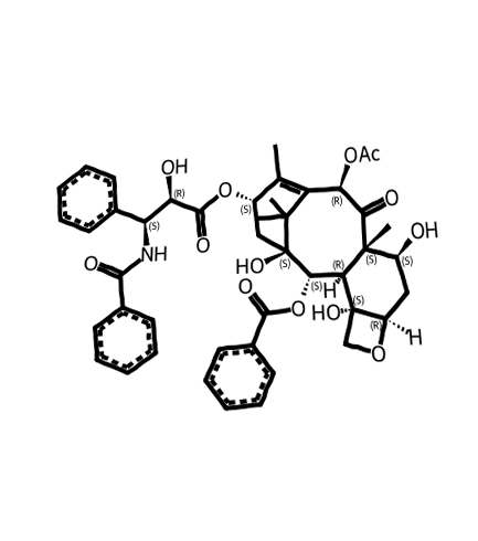 CC(=O)O[C@H]1C(=O)[C@@]2(C)[C@H]([C@H](OC(=O)c3ccccc3)[C@]3(O)C[C@H](OC(=O)[C@H](O)[C@@H](NC(=O)c4ccccc4)c4ccccc4)C(C)=C1C3(C)C)[C@]1(O)CO[C@@H]1C[C@@H]2O